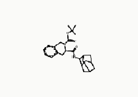 CC(C)(C)OC(=O)N1Cc2ccccc2C[C@@H]1C(=O)NC1C2CC3CC(C2)CC1C3